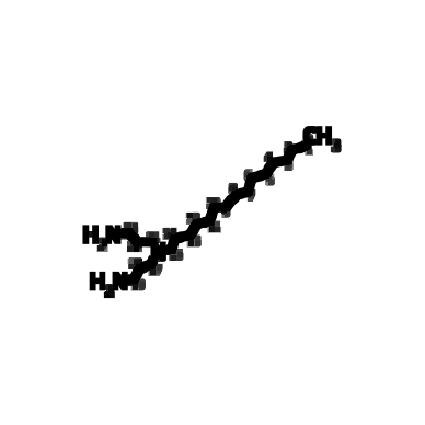 CCCCCCCCCCCCCCCCN(CCCN)CCCN